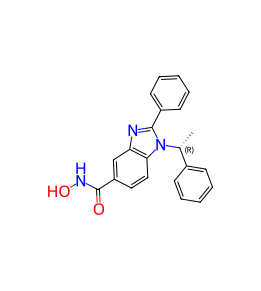 C[C@H](c1ccccc1)n1c(-c2ccccc2)nc2cc(C(=O)NO)ccc21